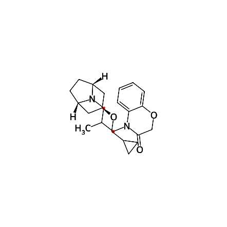 CC(CN1C(=O)COc2ccccc21)CN1[C@@H]2CC[C@H]1C[C@H](OCC1CC1)C2